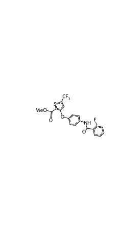 COC(=O)c1sc(C(F)(F)F)cc1Oc1ccc(NC(=O)c2ccccc2F)cc1